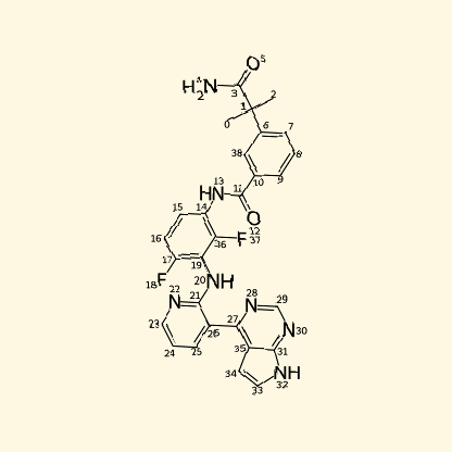 CC(C)(C(N)=O)c1cccc(C(=O)Nc2ccc(F)c(Nc3ncccc3-c3ncnc4[nH]ccc34)c2F)c1